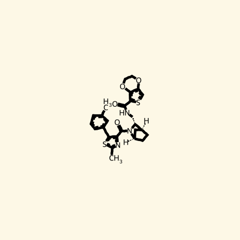 Cc1cccc(-c2sc(C)nc2C(=O)N2[C@@H]3CC[C@@H](C3)[C@H]2CNC(=O)c2scc3c2OCCO3)c1